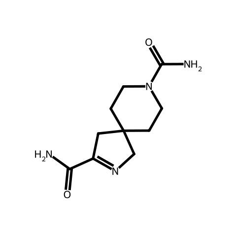 NC(=O)C1=NCC2(CCN(C(N)=O)CC2)C1